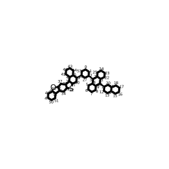 c1cc(-c2c3ccccc3c(-c3ccc4ccccc4c3)c3ccccc23)cc(-c2cc3sc4cc5c(cc4c3c3ccccc23)oc2ccccc25)c1